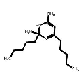 CCCCCC1=NC(N)(CCCCC)NC(N)=N1